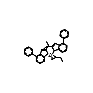 CCC1=Cc2c(-c3ccccc3)cccc2[CH]1[Zr]1([CH]2C(CC)=Cc3c(-c4ccccc4)cccc32)[CH2][CH]1CC